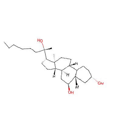 CCCCCC[C@](C)(O)[C@H]1CC[C@H]2[C@@H]3C[C@H](O)[C@H]4C[C@@H](O)CCC4[C@H]3CC[C@@]21C